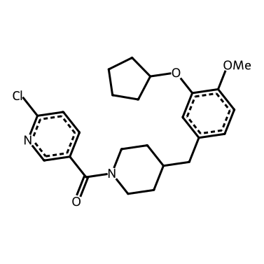 COc1ccc(CC2CCN(C(=O)c3ccc(Cl)nc3)CC2)cc1OC1CCCC1